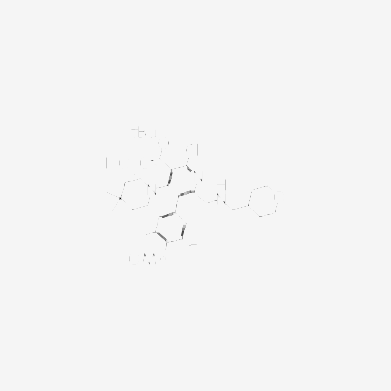 COc1c(F)cc(-c2c(CNCC3CCOCC3)nc(Cl)c([C@H](OC(C)(C)C)C(=O)O)c2N2CCC(C)(C)CC2)cc1F